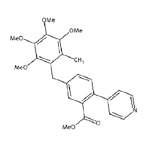 COC(=O)c1cc(Cc2c(C)c(OC)c(OC)c(OC)c2OC)ccc1-c1ccncc1